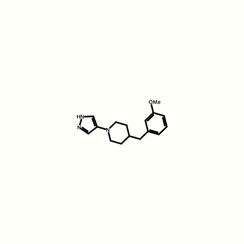 COc1cccc(CC2CCN(c3cn[nH]c3)CC2)c1